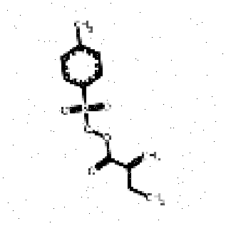 C=C(CC)C(=O)OOS(=O)(=O)c1ccc(C)cc1